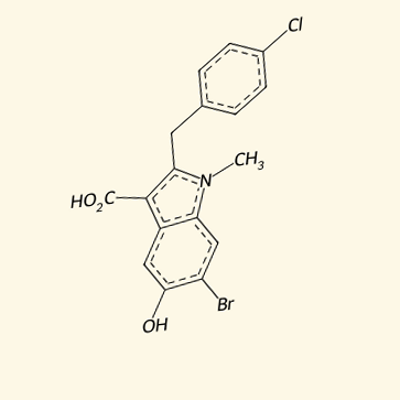 Cn1c(Cc2ccc(Cl)cc2)c(C(=O)O)c2cc(O)c(Br)cc21